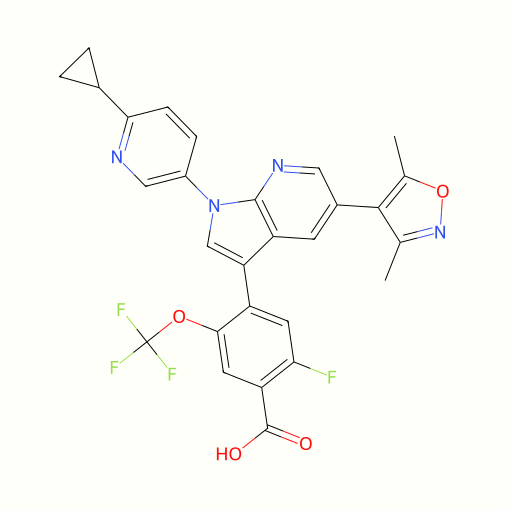 Cc1noc(C)c1-c1cnc2c(c1)c(-c1cc(F)c(C(=O)O)cc1OC(F)(F)F)cn2-c1ccc(C2CC2)nc1